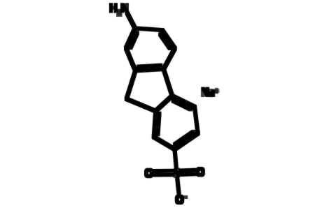 Nc1ccc2c(c1)Cc1cc(S(=O)(=O)[O-])ccc1-2.[Na+]